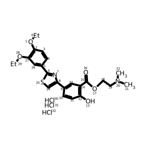 CCOc1ccc(-c2nc(-c3ccc(O)c(C(=O)OCCN(C)C)c3)cs2)cc1OCC.Cl.Cl.Cl